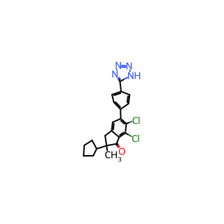 CC1(C2CCCC2)Cc2cc(-c3ccc(-c4nnn[nH]4)cc3)c(Cl)c(Cl)c2C1=O